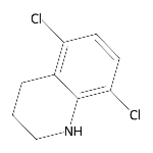 Clc1ccc(Cl)c2c1CCCN2